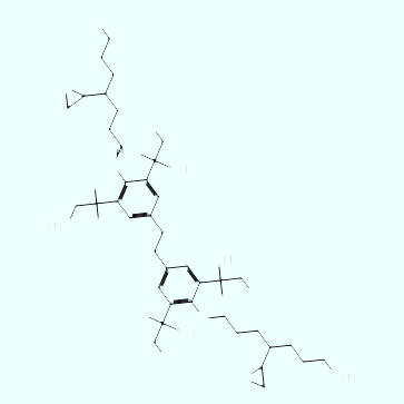 CCCCC(CCCOc1c(C(C)(C)CC)cc(CCc2cc(C(C)(C)CC)c(OCCCC(CCCC)C3CO3)c(C(C)(C)CC)c2)cc1C(C)(C)CC)C1CO1